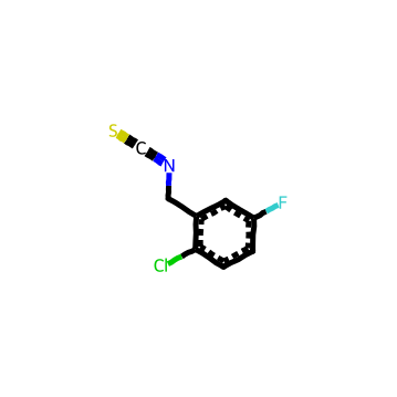 Fc1ccc(Cl)c(CN=C=S)c1